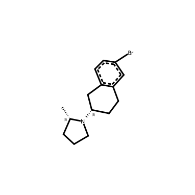 C[C@H]1CCCN1[C@H]1CCc2cc(Br)ccc2C1